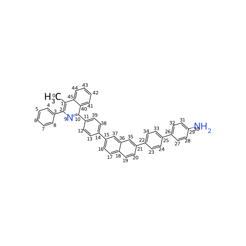 Cc1c(-c2ccccc2)nc(-c2ccc(-c3ccc4ccc(-c5ccc(-c6ccc(N)cc6)cc5)cc4c3)cc2)c2ccccc12